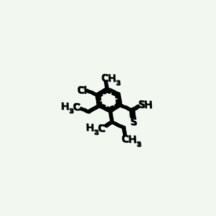 CCc1c(Cl)c(C)cc(C(=S)S)c1C(C)CC